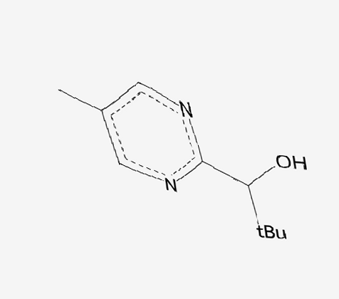 Cc1cnc(C(O)C(C)(C)C)nc1